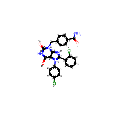 NC(=O)c1ccc(Cn2c(=O)[nH]c(=O)c3c2nc(-c2ccccc2Cl)n3-c2ccc(Cl)cc2)cc1